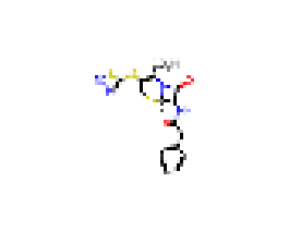 O=C(Cc1ccccc1)N[C@@H]1C(=O)N2C(C(=O)O)=C(Sc3cnns3)CS[C@@H]12